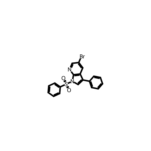 O=S(=O)(c1ccccc1)n1cc(-c2ccccc2)c2cc(Br)cnc21